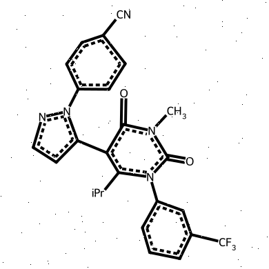 CC(C)c1c(-c2ccnn2-c2ccc(C#N)cc2)c(=O)n(C)c(=O)n1-c1cccc(C(F)(F)F)c1